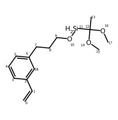 C=Cc1cccc(CCCO[SiH2]C(C)(OC)OC)c1